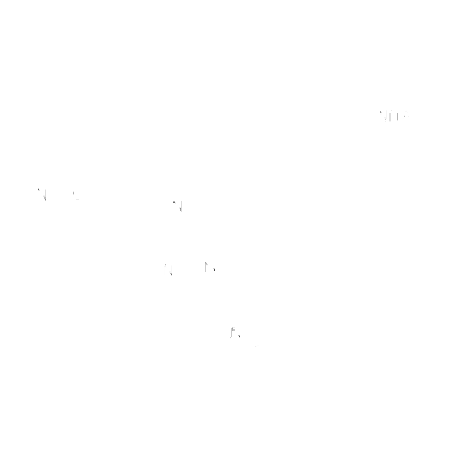 CC(=O)Nc1cccc(-c2cc(N)n3nc(-c4ccno4)nc3c2)c1